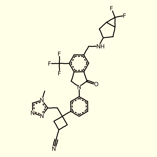 Cn1cnnc1CC1(c2cccc(N3Cc4c(cc(CNC5CC6C(C5)C6(F)F)cc4C(F)(F)F)C3=O)c2)CC(C#N)C1